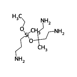 CCO[Si](C)(CCCN)OC(C)(CCN)CCN